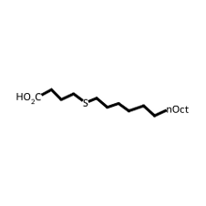 CCCCCCCCCCCCCCSCCCC(=O)O